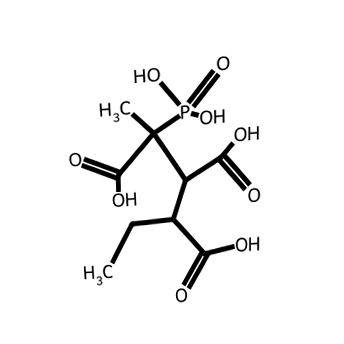 CCC(C(=O)O)C(C(=O)O)C(C)(C(=O)O)P(=O)(O)O